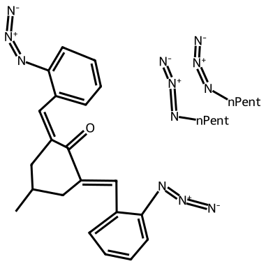 CC1C/C(=C/c2ccccc2N=[N+]=[N-])C(=O)/C(=C/c2ccccc2N=[N+]=[N-])C1.CCCCCN=[N+]=[N-].CCCCCN=[N+]=[N-]